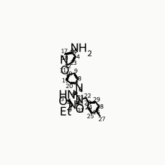 CCn1c(=O)[nH]/c(=N\c2ccc(Oc3ccc(N)cn3)cc2)n(Cc2ccc(C)cc2)c1=O